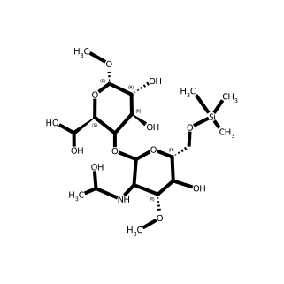 CO[C@@H]1C(NC(C)O)C(OC2[C@@H](C(O)O)O[C@H](OC)[C@H](O)[C@H]2O)O[C@H](CO[Si](C)(C)C)C1O